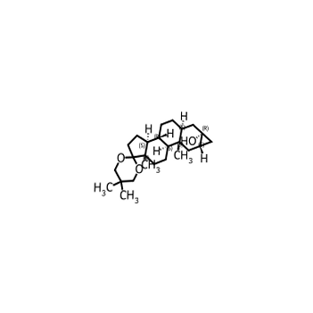 CC1(C)COC2(CC[C@H]3[C@@H]4CC[C@H]5C[C@@]6(O)C[C@@H]6C[C@]5(C)[C@H]4CC[C@@]32C)OC1